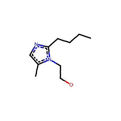 CCCCc1ncc(C)n1CC[O]